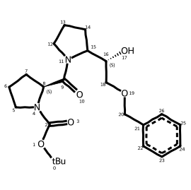 CC(C)(C)OC(=O)N1CCC[C@H]1C(=O)N1CCCC1[C@H](O)COCc1ccccc1